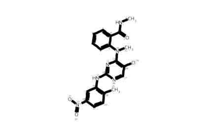 CNC(=O)c1ccccc1N(C)c1nc(Nc2cc([N+](=O)[O-])ccc2C)ncc1Cl